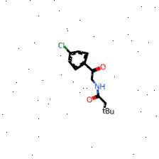 CC(C)(C)CC(=O)NCC(=O)c1ccc(Cl)cc1